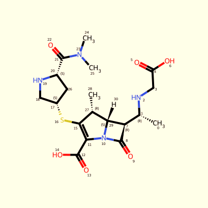 C[C@@H](NCC(=O)O)[C@H]1C(=O)N2C(C(=O)O)=C(S[C@@H]3CN[C@H](C(=O)N(C)C)C3)[C@H](C)[C@H]12